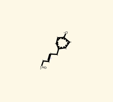 O=[C]C/C=C/Cc1ccc(Cl)cc1